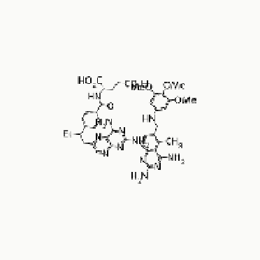 CCC(Cc1cnc2nc(N)nc(N)c2n1)c1ccc(C(=O)N[C@@H](CCC(=O)O)C(=O)O)cc1.COc1cc(NCc2ccc3nc(N)nc(N)c3c2C)cc(OC)c1OC